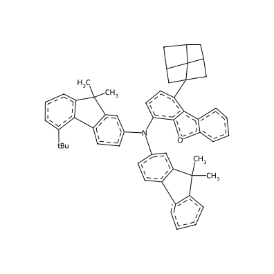 CC(C)(C)c1cccc2c1-c1ccc(N(c3ccc4c(c3)C(C)(C)c3ccccc3-4)c3ccc(C45CC6CC7CC(C4)C765)c4c3oc3ccccc34)cc1C2(C)C